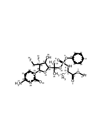 CC(C)OC(=O)[C@H](C)NP(=O)(Oc1ccccc1)OC(C)(C)[C@H]1O[C@@H](n2ccc(N)nc2=O)[C@@](F)(CF)C1O